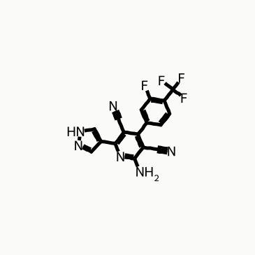 N#Cc1c(N)nc(-c2cn[nH]c2)c(C#N)c1-c1ccc(C(F)(F)F)c(F)c1